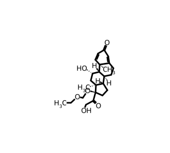 CCOCO[C@]1(C(=O)CO)CC[C@H]2[C@@H]3CCC4=CC(=O)C=C[C@]4(C)[C@H]3[C@@H](O)C[C@@]21C